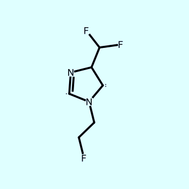 FCCN1[C]C(C(F)F)N=[C]1